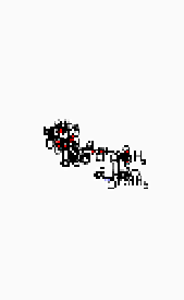 C=PC(=O)O[C@H]1C2[C@](C)(C(=O)[C@H](OC(C)=O)C3=C(C)C(OC(=O)C(COC(=O)CCC(=O)NCCCCC(NC(=O)CC[C@H](NC(=O)C(C)NC(=O)/C=C/c4cccs4)C(N)=O)C(N)=O)C(NC(=O)c4ccccc4)c4ccccc4)C[C@]1(O)C3(C)C)C(O)C[C@H]1OC[C@@]21OC(C)=O